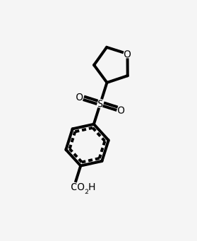 O=C(O)c1ccc(S(=O)(=O)C2CCOC2)cc1